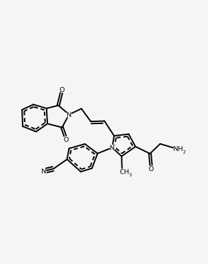 Cc1c(C(=O)CN)cc(/C=C/CN2C(=O)c3ccccc3C2=O)n1-c1ccc(C#N)cc1